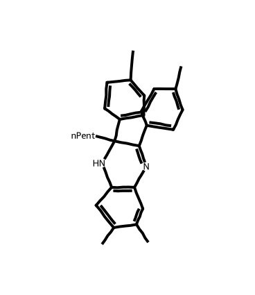 CCCCCC1(c2ccc(C)cc2)Nc2cc(C)c(C)cc2N=C1c1ccc(C)cc1